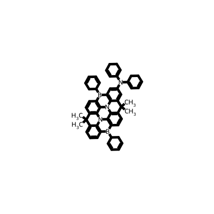 CC1(C)c2cccc3c2N2c4c(ccc5c4N4c6c(cc(N(C7=CCCC=C7)C7=CC=CCC7)cc6C5(C)C)B(C5C=CC=CC5)c5ccc1c2c54)B3C1C=CC=CC1